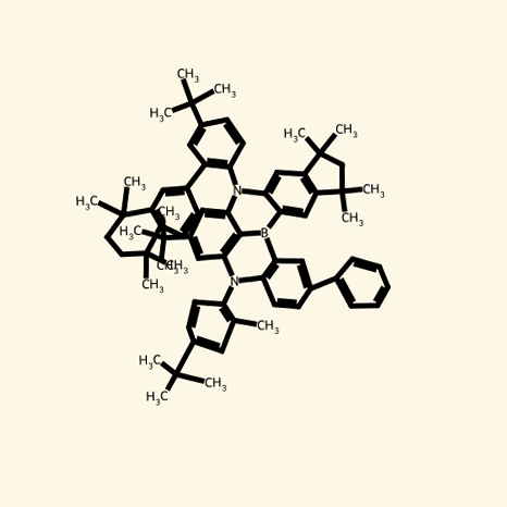 Cc1cc(C(C)(C)C)ccc1N1c2ccc(-c3ccccc3)cc2B2c3cc4c(cc3N(c3ccc(C(C)(C)C)cc3-c3ccc5c(c3)C(C)(C)CCC5(C)C)c3cc(C(C)(C)C)cc1c32)C(C)(C)CC4(C)C